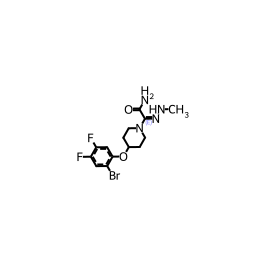 CN/N=C(\C(N)=O)N1CCC(Oc2cc(F)c(F)cc2Br)CC1